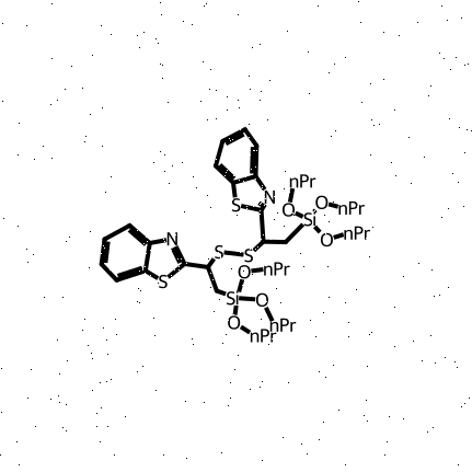 CCCO[Si](CC(SSC(C[Si](OCCC)(OCCC)OCCC)c1nc2ccccc2s1)c1nc2ccccc2s1)(OCCC)OCCC